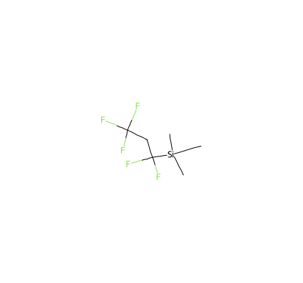 C[Si](C)(C)C(F)(F)CC(F)(F)F